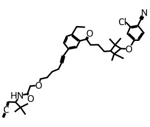 C=C=CC(NC(=O)COCCCCC#Cc1ccc(CC)c(C(=O)CCCC2C(C)(C)C(Oc3ccc(C#N)c(Cl)c3)C2(C)C)c1)C(C)(C)C